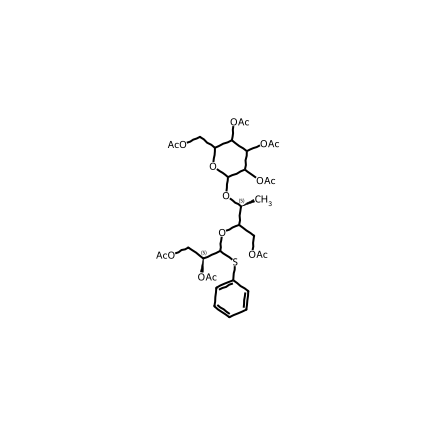 CC(=O)OCC1OC(O[C@@H](C)C(COC(C)=O)OC(Sc2ccccc2)[C@H](COC(C)=O)OC(C)=O)C(OC(C)=O)C(OC(C)=O)C1OC(C)=O